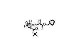 CC(C)(C)OC(=O)N1C[C@@H]2O[C@@H]2[C@H]1CCNC(=O)OCc1ccccc1